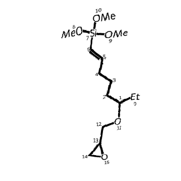 CCC(CCCC=C[Si](OC)(OC)OC)OCC1CO1